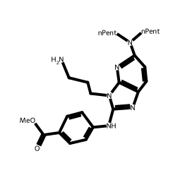 CCCCCN(CCCCC)c1ccc2nc(Nc3ccc(C(=O)OC)cc3)n(CCCN)c2n1